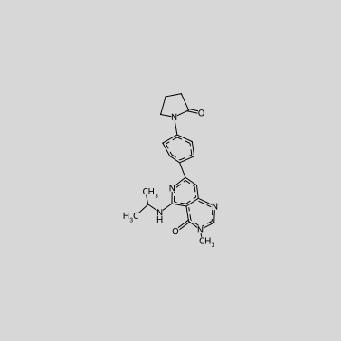 CC(C)Nc1nc(-c2ccc(N3CCCC3=O)cc2)cc2ncn(C)c(=O)c12